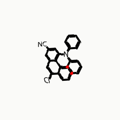 N#Cc1cc(N(c2ccccc2)c2ccccc2)c2c(c1)cc(Cl)c1ccccc12